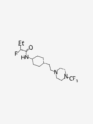 CCC(F)C(=O)NC1CCC(CCN2CCN(C(F)(F)F)CC2)CC1